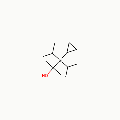 CC(C)[Si](C(C)C)(C1CC1)C(C)(C)O